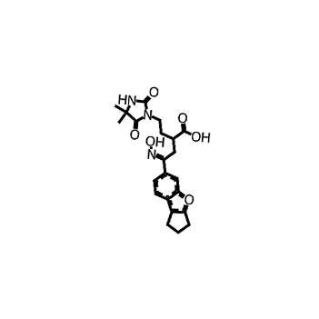 CC1(C)NC(=O)N(CCC(CC(=NO)c2ccc3c4c(oc3c2)CCC4)C(=O)O)C1=O